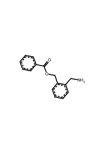 NCc1ccccc1COC(=O)c1ccccc1